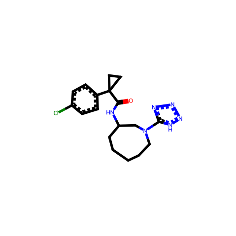 O=C(NC1CCCCCN(c2nnn[nH]2)C1)C1(c2ccc(Cl)cc2)CC1